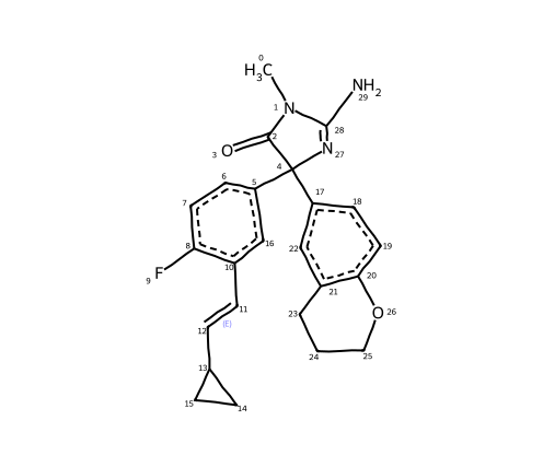 CN1C(=O)C(c2ccc(F)c(/C=C/C3CC3)c2)(c2ccc3c(c2)CCCO3)N=C1N